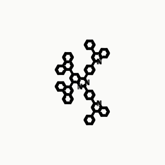 c1ccc(-c2cc(-c3ccc(-c4nc(-c5ccc(-c6cc(-c7ccccc7)c7ccccc7n6)cc5)c5cc(-c6cc7ccccc7c7ccccc67)cc(-c6cc7ccccc7c7ccccc67)c5n4)cc3)nc3ccccc23)cc1